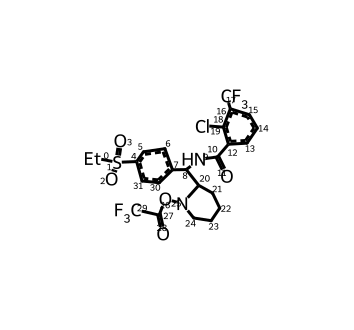 CCS(=O)(=O)c1ccc(C(NC(=O)c2cccc(C(F)(F)F)c2Cl)C2CCCCN2OC(=O)C(F)(F)F)cc1